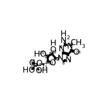 Cn1c(N)nc2c(ncn2[C@@H]2O[C@H](COP(=O)(O)O)[C@@H](O)[C@H]2O)c1=O